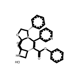 Cl.O=C(Oc1ccccc1)C(=C(c1cccnc1)N1C(=O)OC[C@@H]1c1ccccc1)[C@@H]1CNC1=O